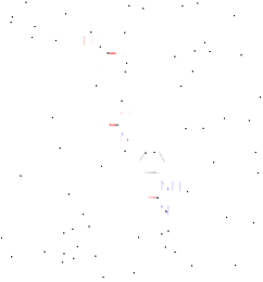 O=C(O)C[C@H]1CC[C@H](OC(=O)N2CCc3cc(NC(=O)NC4CCCCC4)ccc3C2)CC1